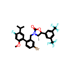 COc1cc(F)c(C(C)C)cc1-c1ccc(Br)cc1CN1C(=O)OC(c2cc(C(F)(F)F)cc(C(F)(F)F)c2)[C@@H]1C